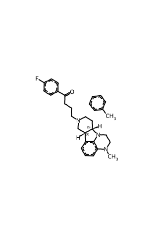 CN1CCN2c3c(cccc31)[C@@H]1CN(CCCC(=O)c3ccc(F)cc3)CC[C@@H]12.Cc1ccccc1